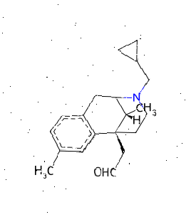 Cc1ccc2c(c1)[C@@]1(CC=O)CCN(CC3CC3)C(C2)[C@@H]1C